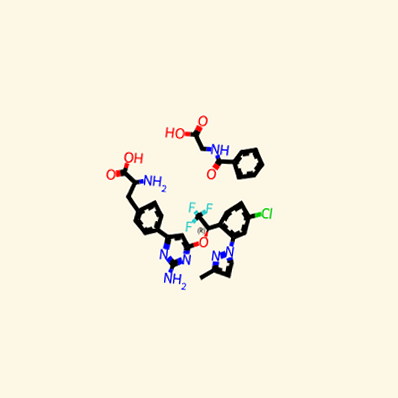 Cc1ccn(-c2cc(Cl)ccc2[C@@H](Oc2cc(-c3ccc(CC(N)C(=O)O)cc3)nc(N)n2)C(F)(F)F)n1.O=C(O)CNC(=O)c1ccccc1